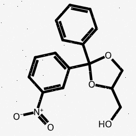 O=[N+]([O-])c1cccc(C2(c3ccccc3)OCC(CO)O2)c1